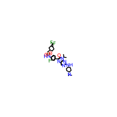 CC(C)n1c(=O)c(-c2ccc(NS(=O)(=O)CC3CCC4C(C3)C4(F)F)c(F)c2)nc2cnc(N[C@H]3CC[C@H](N(C)C)CC3)nc21